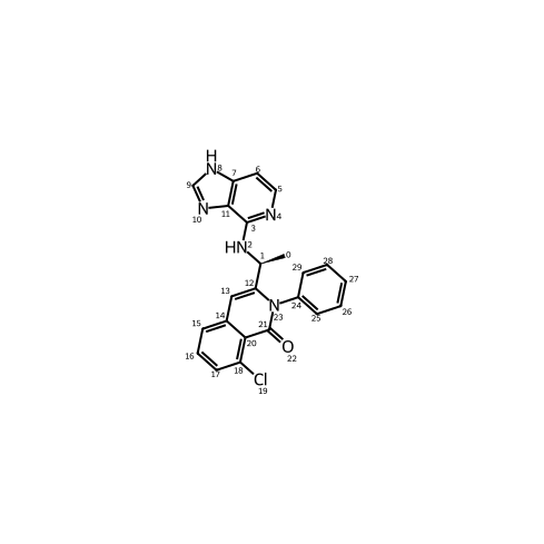 C[C@H](Nc1nccc2[nH]cnc12)c1cc2cccc(Cl)c2c(=O)n1-c1ccccc1